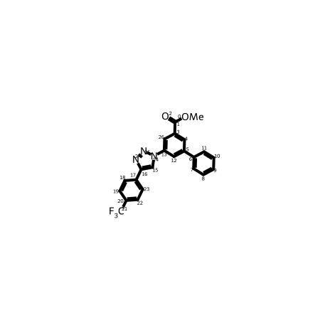 COC(=O)c1cc(-c2ccccc2)cc(-n2cc(-c3ccc(C(F)(F)F)cc3)nn2)c1